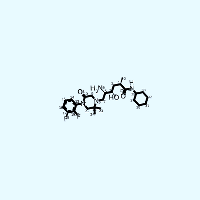 C[C@H](C[C@H](O)[C@@H](N)CN1CC(=O)N(c2cccc(F)c2F)CC1(C)C)C(=O)NC1CCCCC1